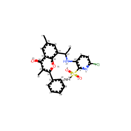 CC(=O)NS(=O)(=O)c1nc(Cl)ccc1NC(C)c1cc(C)cc2c(=O)c(C)c(-c3ccccc3)oc12